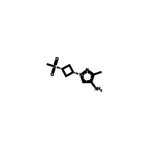 Cc1nn([C@H]2C[C@@H](S(C)(=O)=O)C2)cc1N